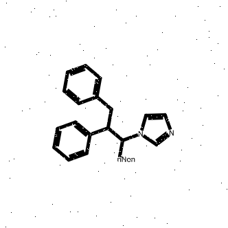 CCCCCCCCCC(C(Cc1ccccc1)c1ccccc1)n1ccnc1